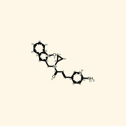 Cn1c(CN(C(=O)/C=C/c2ccc(N)nc2)C2CC2)cc2ccccc21